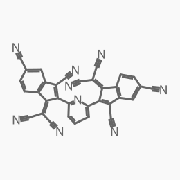 N#CC(C#N)=C1C(c2cccc(C3=C(C#N)c4cc(C#N)ccc4C3=C(C#N)C#N)n2)=C(C#N)c2cc(C#N)ccc21